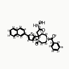 O=C(CC1(c2ccc(-c3ccc4ccccc4c3)s2)CCN(C(=O)c2ccccc2)CCS1(=O)=O)NO